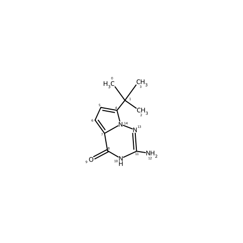 CC(C)(C)c1ccc2c(=O)[nH]c(N)nn12